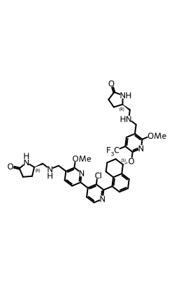 COc1nc(-c2ccnc(-c3cccc4c3CCC[C@@H]4Oc3nc(OC)c(CNC[C@H]4CCC(=O)N4)cc3C(F)(F)F)c2Cl)ccc1CNC[C@H]1CCC(=O)N1